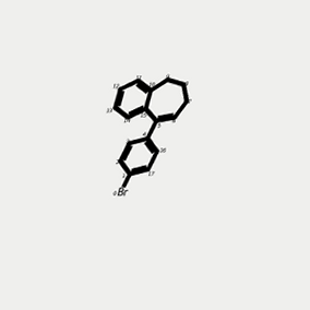 Brc1ccc(C2=CCCCc3ccccc32)cc1